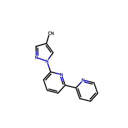 N#Cc1cnn(-c2cccc(-c3ccccn3)n2)c1